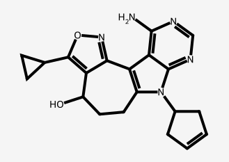 Nc1ncnc2c1c1c(n2C2CC=CC2)CCC(O)c2c-1noc2C1CC1